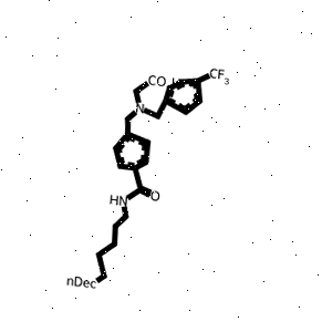 CCCCCCCCCCCCCCCNC(=O)c1ccc(CN(CC(=O)O)Cc2ccc(C(F)(F)F)cc2)cc1